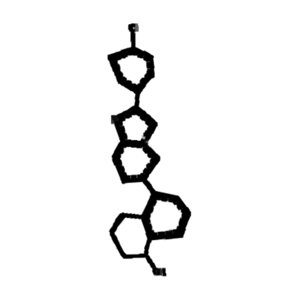 OC1CCCc2c(-c3ccc4nc(-c5ccc(Cl)cc5)cn4c3)cccc21